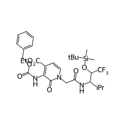 CCOC(=O)c1ccn(CC(=O)NC(C(C)C)C(O[Si](C)(C)C(C)(C)C)C(F)(F)F)c(=O)c1NC(=O)OCc1ccccc1